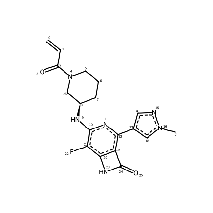 C=CC(=O)N1CCC[C@@H](Nc2nc(-c3cnn(C)c3)c3c(c2F)NC3=O)C1